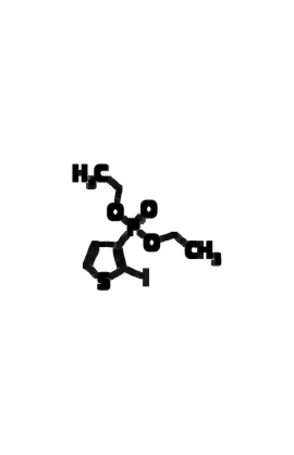 CCOP(=O)(OCC)c1ccsc1I